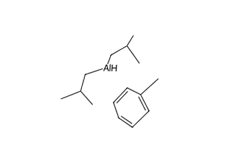 CC(C)[CH2][AlH][CH2]C(C)C.Cc1ccccc1